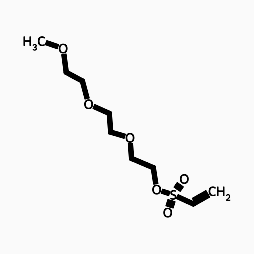 C=CS(=O)(=O)OCCOCCOCCOC